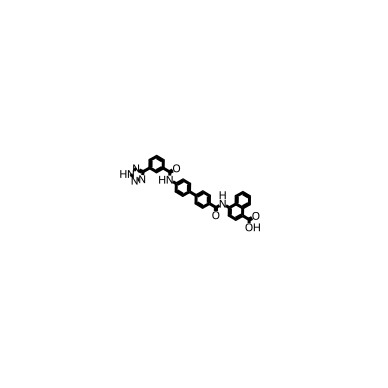 O=C(Nc1ccc(-c2ccc(C(=O)Nc3ccc(C(=O)O)c4ccccc34)cc2)cc1)c1cccc(-c2nn[nH]n2)c1